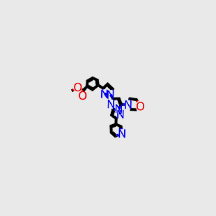 COC(=O)c1cccc(-c2ccn(-c3cc(N4CCOCC4)n4nc(-c5cccnc5)cc4n3)n2)c1